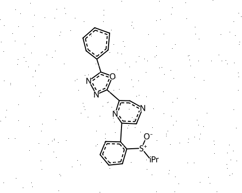 CC(C)[S+]([O-])c1ccccc1-c1cncc(-c2nnc(-c3ccccc3)o2)n1